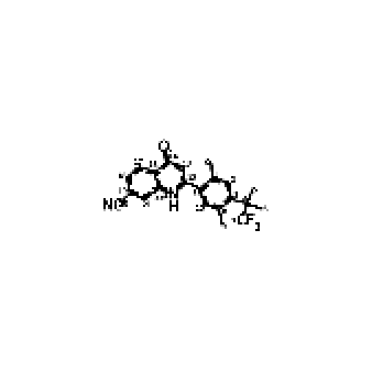 Cc1cc(C(C)(C)C(F)(F)F)c(C)cc1-c1cc(=O)c2ccc(C#N)cc2[nH]1